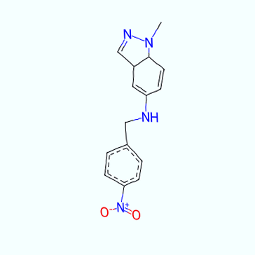 CN1N=CC2C=C(NCc3ccc([N+](=O)[O-])cc3)C=CC21